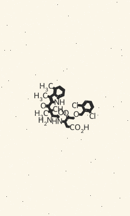 Cc1cccc2[nH]c(C(=O)C(C)(C)[C@H](N)C(=O)NC(CC(=O)O)C(=O)COCc3c(Cl)cccc3Cl)c(C)c12